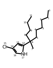 CCCCCCC(C)(CCCC)c1cc(Cl)c[nH]1